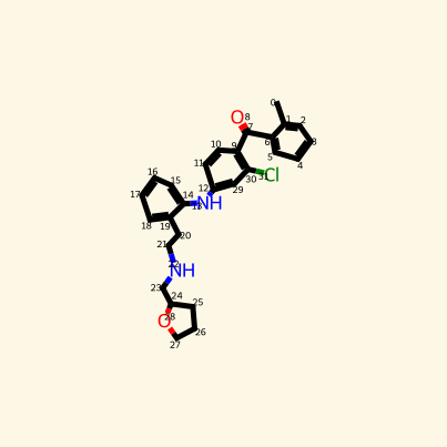 Cc1ccccc1C(=O)c1ccc(Nc2ccccc2CCNCC2CCCO2)cc1Cl